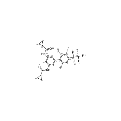 O=C(Nc1cc(-c2c(F)cc(C(F)(F)C(F)(F)F)c(F)c2F)cc(NC(=O)C2CC2)n1)C1CC1